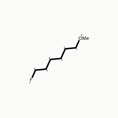 COCCCCCCF